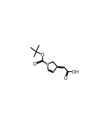 CC(C)(C)OC(=O)N1C=C/C(=C\C(=O)O)C1